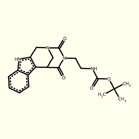 CC(C)(C)OC(=O)NCCN1C(=O)C2CN(Cc3[nH]c4ccccc4c32)C1=O